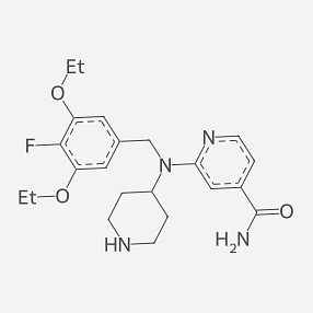 CCOc1cc(CN(c2cc(C(N)=O)ccn2)C2CCNCC2)cc(OCC)c1F